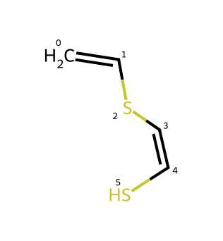 C=CS/C=C\S